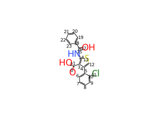 O=C(O)c1c(-c2ccccc2Cl)csc1NC(O)c1ccccc1